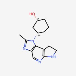 Cc1nc2cnc3c(c2n1[C@H]1CCC[C@@H](O)C1)CCN3